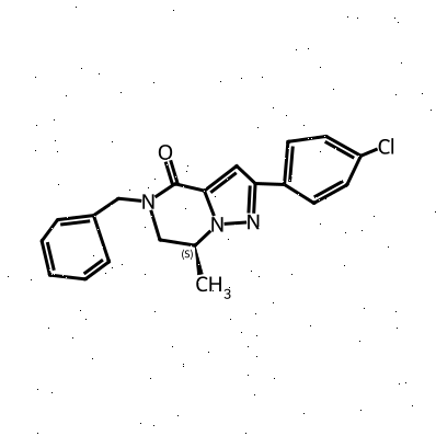 C[C@H]1CN(Cc2ccccc2)C(=O)c2cc(-c3ccc(Cl)cc3)nn21